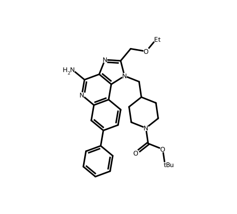 CCOCc1nc2c(N)nc3cc(-c4ccccc4)ccc3c2n1CC1CCN(C(=O)OC(C)(C)C)CC1